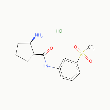 Cl.N[C@@H]1CCC[C@@H]1C(=O)Nc1cccc(S(=O)(=O)C(F)(F)F)c1